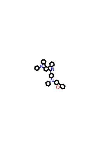 c1ccc(N(c2ccc(-c3nc4ccccc4c4c3ccc3c4c4ccccc4n3-c3ccccc3)cc2)c2ccc3c(c2)oc2ccccc23)cc1